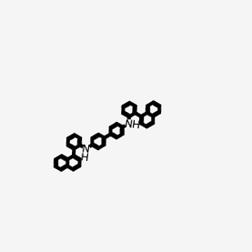 c1ccc(-c2cccc3ccccc23)c(Nc2ccc(-c3ccc(Nc4ccccc4-c4cccc5ccccc45)cc3)cc2)c1